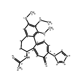 COc1cc2c(c(OC)c1OC)-c1ccc(-n3cnnn3)c(=O)cc1[C@@H](NC(C)=O)CC2